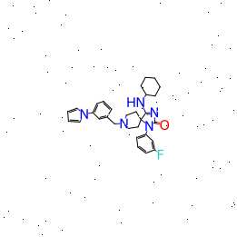 O=C1N=C(NC2CCCCC2)C2(CCN(Cc3cccc(-n4cccc4)c3)CC2)N1c1cccc(F)c1